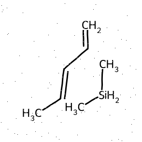 C=CC=CC.C[SiH2]C